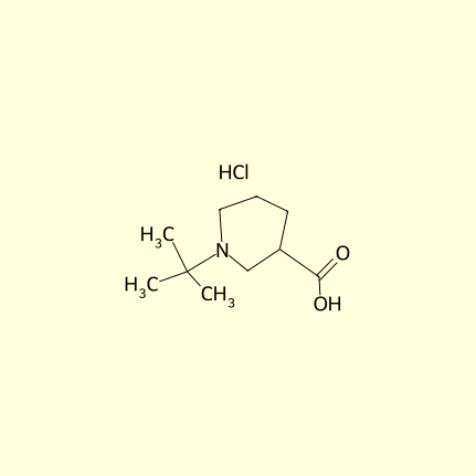 CC(C)(C)N1CCCC(C(=O)O)C1.Cl